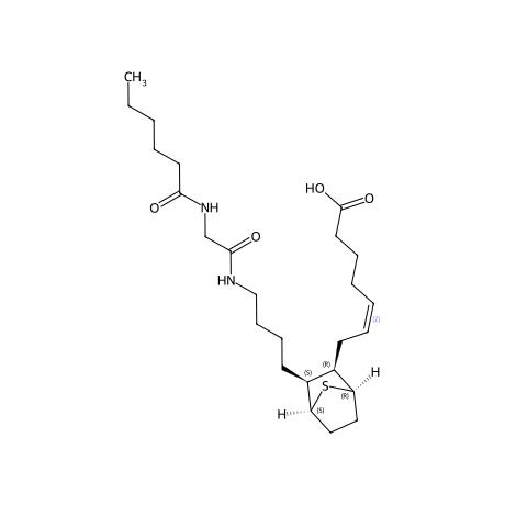 CCCCCC(=O)NCC(=O)NCCCC[C@H]1[C@@H](C/C=C\CCCC(=O)O)[C@H]2CC[C@@H]1S2